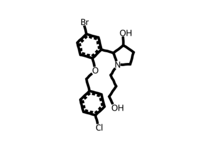 OCCCN1CCC(O)C1c1cc(Br)ccc1OCc1ccc(Cl)cc1